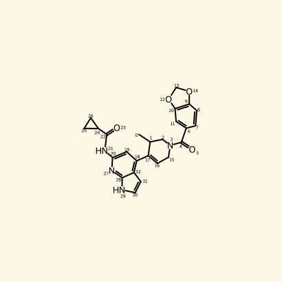 CC1CN(C(=O)c2ccc3c(c2)OCO3)CC=C1c1cc(NC(=O)C2CC2)nc2[nH]ccc12